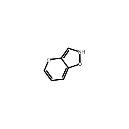 C1=COC2=CNOC2=C1